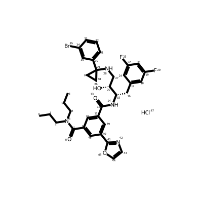 CCCN(CCC)C(=O)c1cc(C(=O)N[C@@H](Cc2cc(F)cc(F)c2)[C@H](O)CNC2(c3cccc(Br)c3)CC2)cc(-c2ncco2)c1.Cl